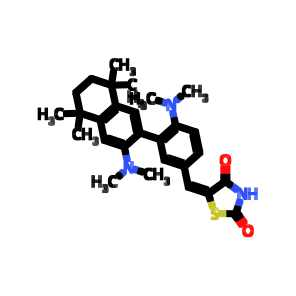 CN(C)c1ccc(/C=C2/SC(=O)NC2=O)cc1-c1cc2c(cc1N(C)C)C(C)(C)CCC2(C)C